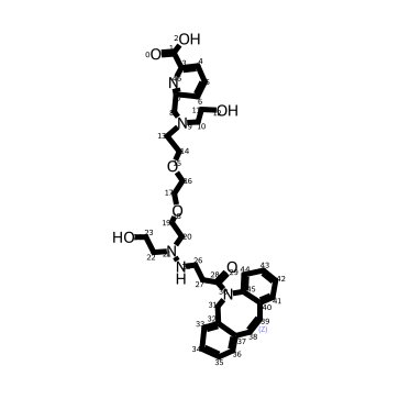 O=C(O)c1cccc(CN(CCO)CCOCCOCCN(CCO)NCCC(=O)N2Cc3ccccc3/C=C\c3ccccc32)n1